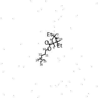 CCC(C)(C)CC(C)(C(=O)OCCCS(C)(C)C)C(C)(C)CC